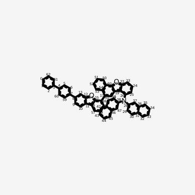 c1ccc(-c2ccc(-c3ccc4c(c3)oc3c(-c5cc6c(oc7cccc(N(c8ccc9ccccc9c8)c8ccc9ccccc9c8)c76)c6ccccc56)cccc34)cc2)cc1